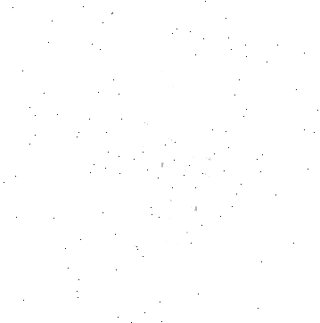 Clc1cccc(-c2nccc(Nc3c[nH]nc3-c3nc4cc(CN5CCOCC5)ccc4[nH]3)n2)c1